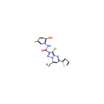 Cc1ccc(O)c(NC(=O)c2nn3c(C(F)(F)F)cc(-c4cccs4)nc3c2Cl)c1